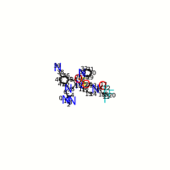 Cn1cncc1CN1CC(N(CC2CCN(C(=O)CC(F)(F)F)CC2)S(=O)(=O)c2ccccn2)Cc2cc(C#N)ccc21